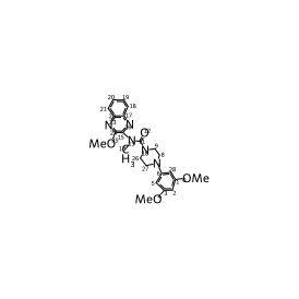 COc1cc(OC)cc(N2CCN(C(=O)N(C)c3nc4ccccc4nc3OC)CC2)c1